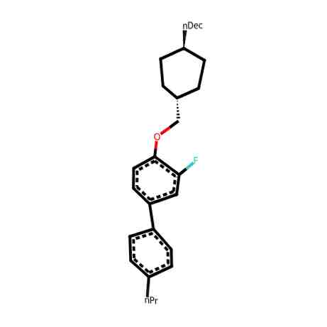 CCCCCCCCCC[C@H]1CC[C@H](COc2ccc(-c3ccc(CCC)cc3)cc2F)CC1